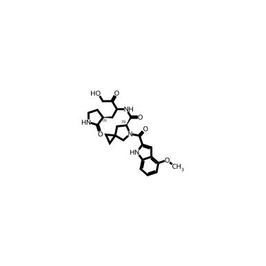 COc1cccc2[nH]c(C(=O)N3CC4(CC4)C[C@H]3C(=O)NC(C[C@@H]3CCNC3=O)C(=O)CO)cc12